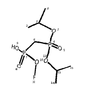 CC(C)OP(=O)(CP(=O)(O)OF)OC(C)C